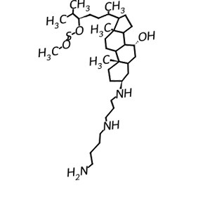 COSO[C@H](CC[C@@H](C)C1CCC2C3C(CC[C@@]21C)[C@@]1(C)CC[C@H](NCCCNCCCCN)CC1C[C@H]3O)C(C)C